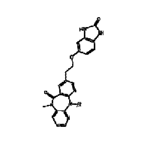 CCN1c2ncc(CCOc3ccc4[nH]c(=O)[nH]c4c3)cc2C(=O)N(C)c2cccnc21